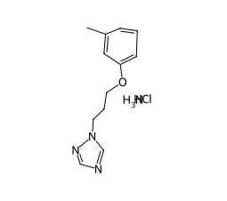 Cc1cccc(OCCCn2cncn2)c1.Cl.N